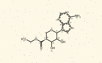 CCOC(=O)[C@H]1COC(n2cnc3c(N)ncnc32)C(O)C1O